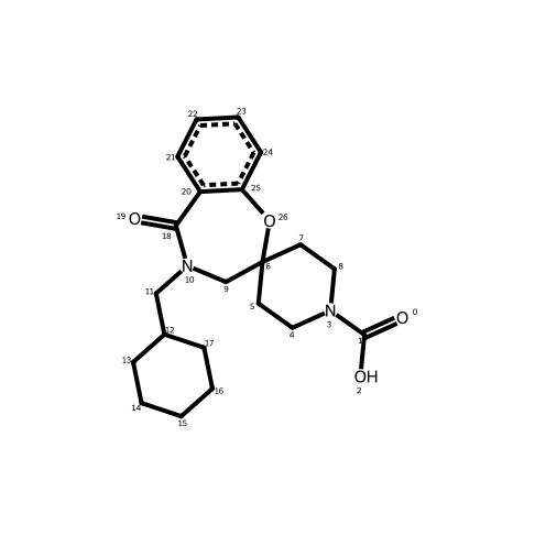 O=C(O)N1CCC2(CC1)CN(CC1CCCCC1)C(=O)c1ccccc1O2